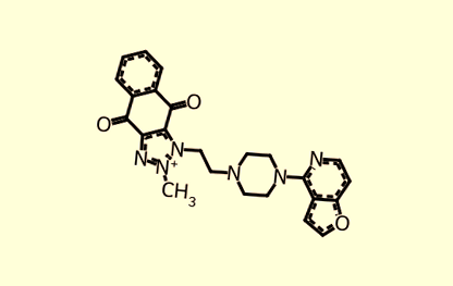 C[n+]1nc2c(n1CCN1CCN(c3nccc4occc34)CC1)C(=O)c1ccccc1C2=O